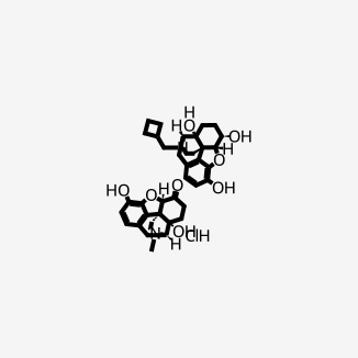 CN1CC[C@]23c4c5ccc(O)c4O[C@H]2C(=O)CC[C@@]3(O)[C@H]1C5.Cl.Oc1ccc2c3c1O[C@H]1[C@@H](O)CC[C@@]4(O)[C@@H](C2)N(CC2CCC2)CC[C@]314